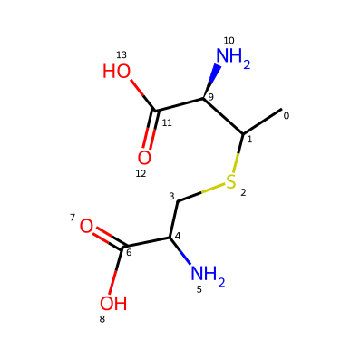 CC(SCC(N)C(=O)O)[C@H](N)C(=O)O